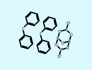 [O-]B1OB2OB([O-])OB(O1)O2.c1ccc([I+]c2ccccc2)cc1.c1ccc([I+]c2ccccc2)cc1